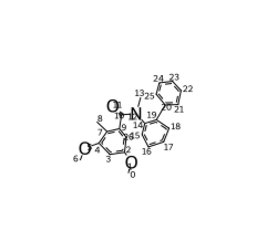 COc1cc(OC)c(C)c(C(=O)N(C)c2ccccc2-c2ccccc2)c1